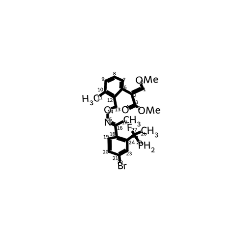 CO/C=C(/C(=O)OC)c1cccc(C)c1CO/N=C(\C)c1ccc(Br)cc1C(C)(F)P